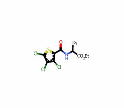 CCOC(=O)C(NC(=O)c1sc(Cl)c(Cl)c1Cl)C(C)C